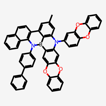 Cc1cc2c3c(c1)N(c1ccc4c(c1)Oc1ccccc1O4)c1cc4c(cc1B3N(c1ccc(-c3ccccc3)cc1)c1c-2ccc2ccccc12)Oc1ccccc1O4